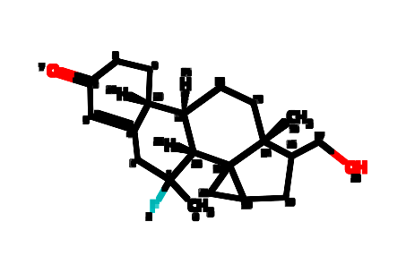 CC1(F)CC2=CC(=O)CC[C@@H]2[C@H]2CC[C@]3(C)C(CO)CC4CC43[C@@H]21